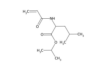 C=CC(=O)NC(CC(C)C)C(=O)OC(C)C